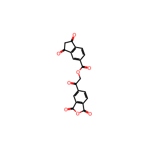 O=C(COC(=O)c1ccc2c(c1)C(=O)CC2=O)c1ccc2c(c1)C(=O)OC2=O